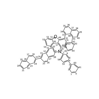 c1ccc(-c2ccc(N(c3ccc4cc(-c5ccc6ccccc6c5)ccc4c3)c3ccc(-c4cccc5cccc(-c6ccccc6)c45)c4oc5ccccc5c34)cc2)cc1